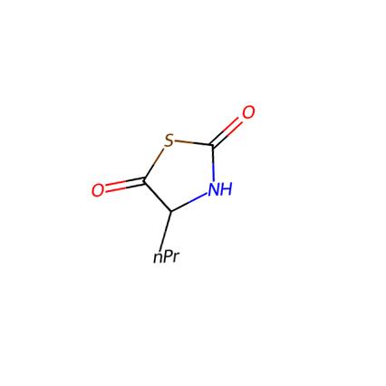 CCCC1NC(=O)SC1=O